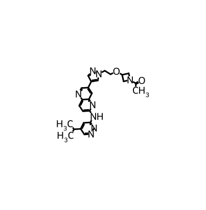 CC(=O)N1CC(OCCn2cc(-c3cnc4ccc(Nc5cc(C(C)C)cnn5)nc4c3)cn2)C1